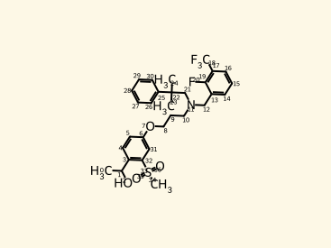 CC(O)c1ccc(OCCCN(Cc2cccc(C(F)(F)F)c2F)CC(C)(C)c2ccccc2)cc1S(C)(=O)=O